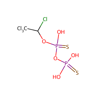 OP(O)(=S)OP(O)(=S)OC(Cl)C(Cl)(Cl)Cl